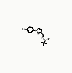 CC(C)(C)[S@@+]([O-])N=Cc1ccn(-c2ccc(Cl)cc2)n1